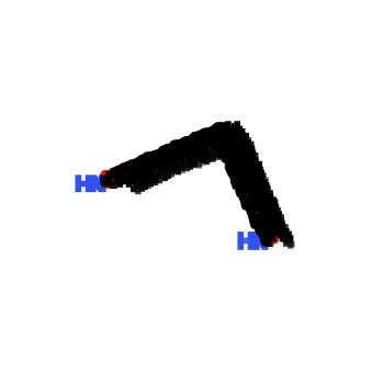 C.C.C.C.C.C.C.C.C.C.C.C.C.C.C.C.C.C.C.C.C.C.C.C.C.C.C.C.C.C.C.C.C.C.C.C.C.C.C.C.C.C.C.C.C.C.C.C.C.C.C.C.C.C.C.C.N=C=O.N=C=O